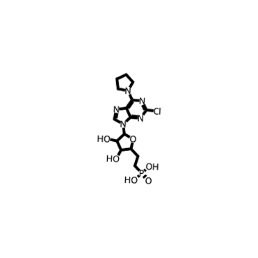 O=P(O)(O)CCC1OC(n2cnc3c(N4CCCC4)nc(Cl)nc32)C(O)C1O